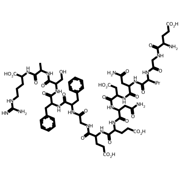 CC(NC(=O)C(CO)NC(=O)C(Cc1ccccc1)NC(=O)C(Cc1ccccc1)NC(=O)CNC(=O)C(CCC(=O)O)NC(=O)C(CCC(=O)O)NC(=O)C(CC(N)=O)NC(=O)C(CC(=O)O)NC(=O)C(CC(N)=O)NC(=O)C(NC(=O)CNC(=O)C(N)CCC(=O)O)C(C)C)C(=O)NC(CCCNC(=N)N)C(=O)O